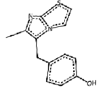 Cc1nc2sccn2c1Cc1ccc(O)cc1